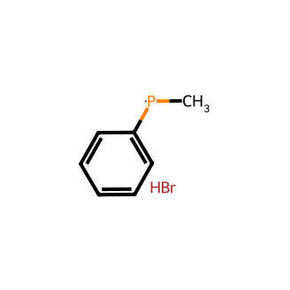 Br.C[P]c1ccccc1